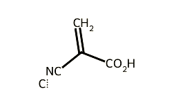 C=C(C#N)C(=O)O.[C]